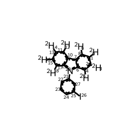 [2H]c1c([2H])c([2H])c2c(c1[2H])c1c([2H])c([2H])c([2H])c([2H])c1n2-c1cccc(I)c1